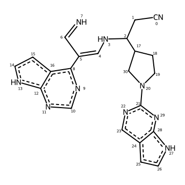 N#CCC(N/C=C(\C=N)c1ncnc2[nH]ccc12)C1CCN(c2ncc3cc[nH]c3n2)C1